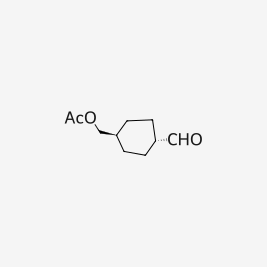 CC(=O)OC[C@H]1CC[C@H](C=O)CC1